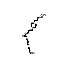 CCCCCCCCCCCCSCCCOC(=O)NCCCN1CCN(CCCNC=O)CC1